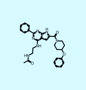 CC(=O)NCCNc1nc(-c2ccccc2)nc2[nH]c(C(=O)N3CCC(Oc4ccccc4)CC3)cc12